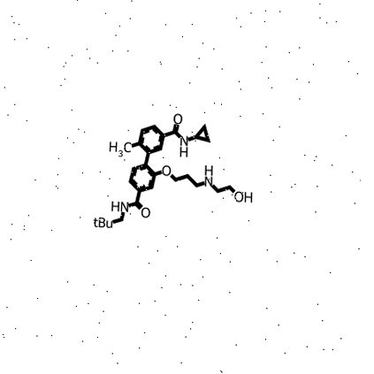 Cc1ccc(C(=O)NC2CC2)cc1-c1ccc(C(=O)NCC(C)(C)C)cc1OCCCNCCO